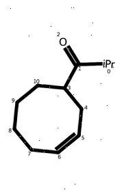 CC(C)C(=O)C1CC=CCCCC1